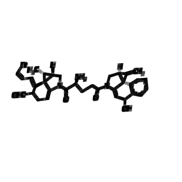 C=C1[C@@H]2CN(C(=O)CC[C@H](N)C(=O)N3C[C@H]4[C@@H](C)[C@@]45C3=CCC(C=O)/C5=C\C=C/CC)C3=CC(O)c4ccccc4[C@]132